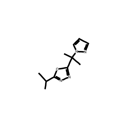 CC(C)c1nnc(C(C)(C)n2c[c]cn2)o1